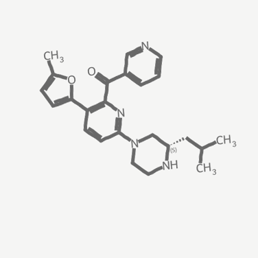 Cc1ccc(-c2ccc(N3CCN[C@@H](CC(C)C)C3)nc2C(=O)c2cccnc2)o1